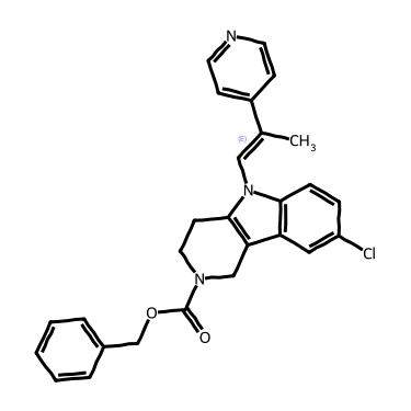 C/C(=C\n1c2c(c3cc(Cl)ccc31)CN(C(=O)OCc1ccccc1)CC2)c1ccncc1